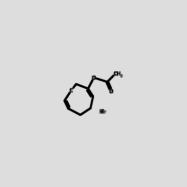 CC(=O)OC1=CCCC=CCC1.[Rh]